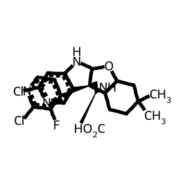 CC1(C)CCC23N[C@@H](C(=O)O)[C@H](c4ccnc(Cl)c4F)[C@]24c2cnc(Cl)cc2NC4OC3C1